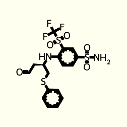 NS(=O)(=O)c1ccc(N[C@H](CC=O)CSc2ccccc2)c(S(=O)(=O)C(F)(F)F)c1